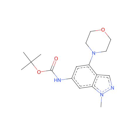 Cn1ncc2c(N3CCOCC3)cc(NC(=O)OC(C)(C)C)cc21